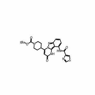 CC(C)(C)OC(=O)N1CCC(c2cc(=O)[nH]c3c4c(NC(=O)c5cscn5)cccc4nn23)CC1